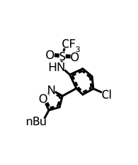 CCCCc1cc(-c2cc(Cl)ccc2NS(=O)(=O)C(F)(F)F)no1